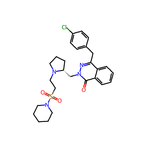 O=c1c2ccccc2c(Cc2ccc(Cl)cc2)nn1C[C@H]1CCCN1CCS(=O)(=O)N1CCCCC1